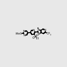 CCS(=O)(=O)c1cc(-c2cnc(SC)nc2)cnc1-c1nc2cc(C(F)(F)F)ncc2n1C